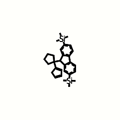 C[Si](C)(C)c1ccc2c(c1)C(C1(C3=CC=CC3)CCCC1)c1cc([Si](C)(C)C)ccc1-2